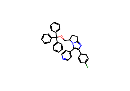 Fc1ccc(-c2nc3n(c2-c2ccncc2)C(COC(c2ccccc2)(c2ccccc2)c2ccccc2)CC3)cc1